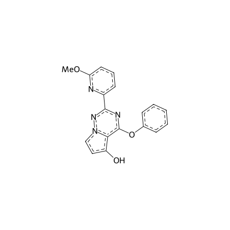 COc1cccc(-c2nc(Oc3ccccc3)c3c(O)ccn3n2)n1